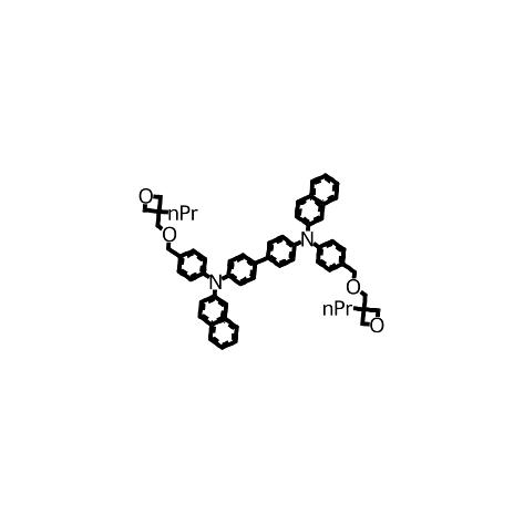 CCCC1(COCc2ccc(N(c3ccc(-c4ccc(N(c5ccc(COCC6(CCC)COC6)cc5)c5ccc6ccccc6c5)cc4)cc3)c3ccc4ccccc4c3)cc2)COC1